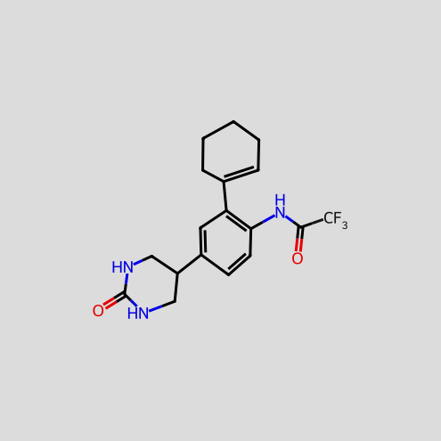 O=C1NCC(c2ccc(NC(=O)C(F)(F)F)c(C3=CCCCC3)c2)CN1